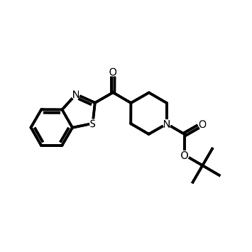 CC(C)(C)OC(=O)N1CCC(C(=O)c2nc3ccccc3s2)CC1